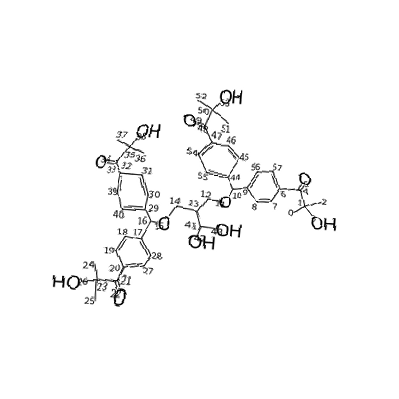 CC(C)(O)C(=O)c1ccc(C(OCC(COC(c2ccc(C(=O)C(C)(C)O)cc2)c2ccc(C(=O)C(C)(C)O)cc2)C(O)O)c2ccc(C(=O)C(C)(C)O)cc2)cc1